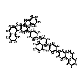 c1ccc2c(c1)cnc1cc(-c3ccc(-c4ccc(-c5ccc(-c6cc7c(sc8ccc9ccccc9c87)c7nc8ccccc8n67)cc5)c5ccccc45)cc3)ccc12